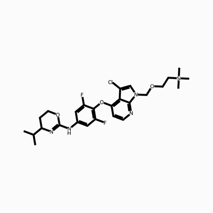 CC(C)C1CCOC(Nc2cc(F)c(Oc3ccnc4c3c(Cl)cn4COCC[Si](C)(C)C)c(F)c2)=N1